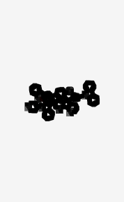 c1cnc2c(c1)C1(c3ccc(-n4c5ccccc5c5ccccc54)cc3Oc3ccc(-c4ccc5c(c4)c4ccccc4n5-c4cnccc4-n4c5ccccc5c5ccccc54)cc31)c1cccnc1-2